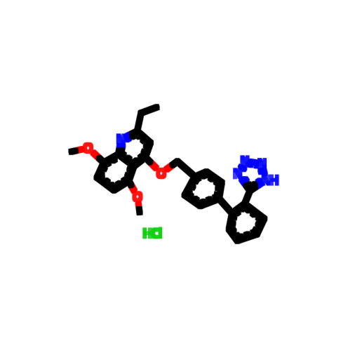 CCc1cc(OCc2ccc(-c3ccccc3-c3nnn[nH]3)cc2)c2c(OC)ccc(OC)c2n1.Cl